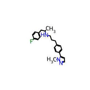 CC(Cc1ccc(F)cc1)NCCCc1ccc(-c2ccnn2C)cc1